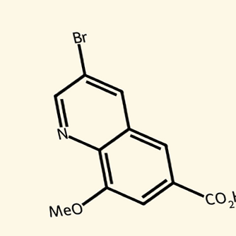 COc1cc(C(=O)O)cc2cc(Br)cnc12